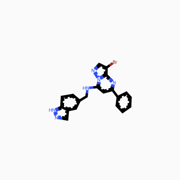 Brc1cnn2c(NCc3ccc4[nH]ncc4c3)cc(-c3ccccc3)nc12